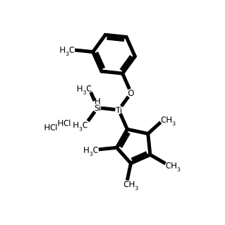 CC1=C(C)C(C)[C]([Ti]([O]c2cccc(C)c2)[SiH](C)C)=C1C.Cl.Cl